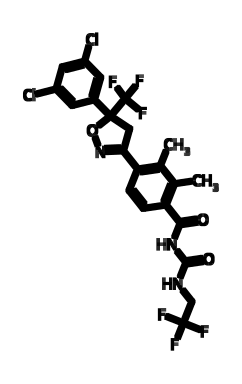 Cc1c(C(=O)NC(=O)NCC(F)(F)F)ccc(C2=NOC(c3cc(Cl)cc(Cl)c3)(C(F)(F)F)C2)c1C